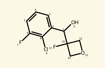 OC(c1cccc(F)c1Cl)C1(F)COC1